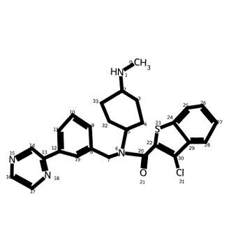 CNC1CCC(N(Cc2cccc(-c3cnccn3)c2)C(=O)c2sc3ccccc3c2Cl)CC1